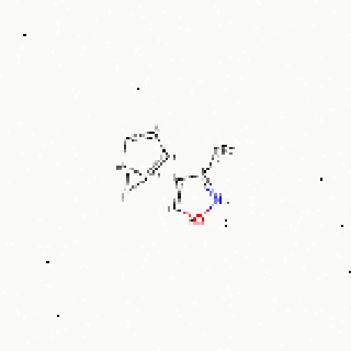 CCCc1ccon1.c1cc2cc-2c1